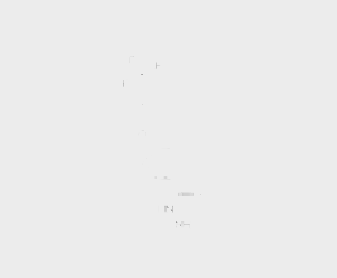 NNC(=O)c1ccc(OCCCC(F)(F)F)cc1